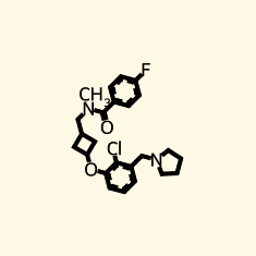 CN(CC1CC(Oc2cccc(CN3CCCC3)c2Cl)C1)C(=O)c1ccc(F)cc1